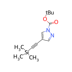 CC(C)(C)OC(=O)n1cc(C#C[Si](C)(C)C)cn1